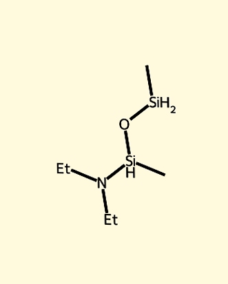 CCN(CC)[SiH](C)O[SiH2]C